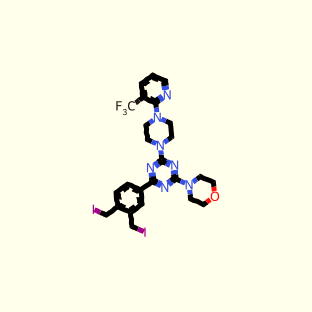 FC(F)(F)c1cccnc1N1CCN(c2nc(-c3ccc(CI)c(CI)c3)nc(N3CCOCC3)n2)CC1